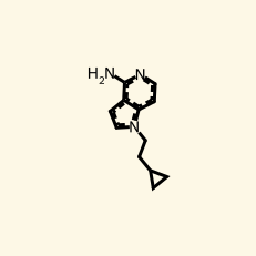 Nc1nccc2c1ccn2CCC1CC1